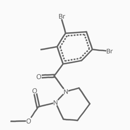 COC(=O)N1CCCCN1C(=O)c1cc(Br)cc(Br)c1C